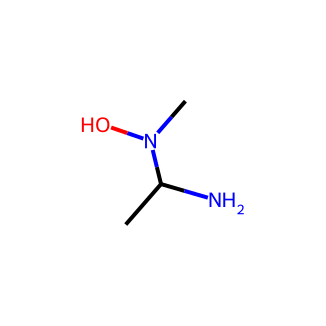 CC(N)N(C)O